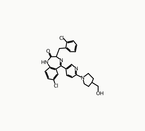 O=C1Nc2ccc(Cl)cc2C(c2ccc(N3CCC(CO)CC3)nc2)=NC1Cc1ccccc1Cl